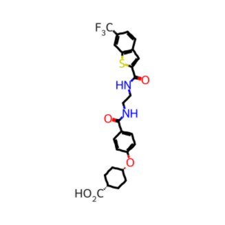 O=C(NCCNC(=O)c1cc2ccc(C(F)(F)F)cc2s1)c1ccc(O[C@H]2CC[C@@H](C(=O)O)CC2)cc1